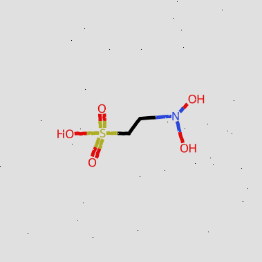 O=S(=O)(O)CCN(O)O